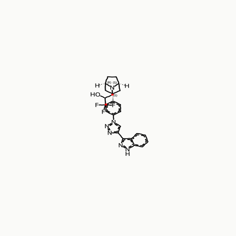 OC(CN1[C@@H]2CC[C@H]1C[C@H](c1ccc(-n3cc(-c4n[nH]c5ccccc45)nn3)cc1)C2)C(F)(F)F